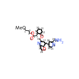 COCCCOC(=O)Cc1ccccc1OCc1cc(-c2ccnc(CN)c2)c2occc2n1